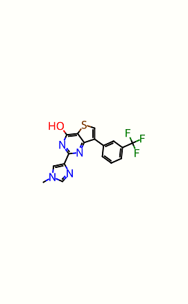 Cn1cnc(-c2nc(O)c3scc(-c4cccc(C(F)(F)F)c4)c3n2)c1